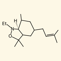 CCN1OC(C)(C)C2CC(CC=C(C)C)CC(C)[C@@H]21